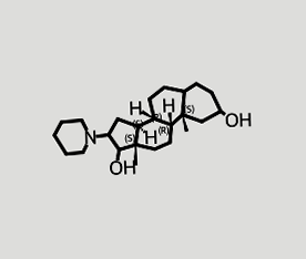 C[C@]12CC(O)CCC1CC[C@@H]1[C@H]2CC[C@]2(C)C(O)C(N3CCCCC3)C[C@@H]12